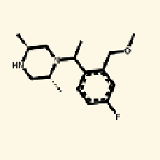 COCc1cc(F)ccc1C(C)N1C[C@H](C)NC[C@H]1C